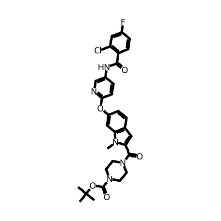 Cn1c(C(=O)N2CCN(C(=O)OC(C)(C)C)CC2)cc2ccc(Oc3ccc(NC(=O)c4ccc(F)cc4Cl)cn3)cc21